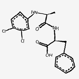 C[C@H](Nc1ccc(Cl)c(Cl)c1)C(=O)N[C@@H](Cc1ccccc1)C(=O)O